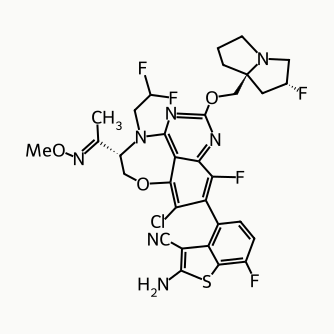 CON=C(C)[C@H]1COc2c(Cl)c(-c3ccc(F)c4sc(N)c(C#N)c34)c(F)c3nc(OC[C@@]45CCCN4C[C@H](F)C5)nc(c23)N1CC(F)F